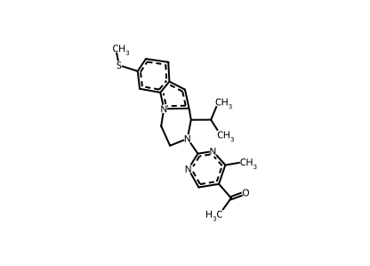 CSc1ccc2cc3n(c2c1)CCN(c1ncc(C(C)=O)c(C)n1)C3C(C)C